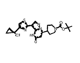 CC(C)(C)OC(=O)N1CCC(c2cc(=O)[nH]c3c(-c4nc(C5(Cl)CC5)cs4)cnn23)CC1